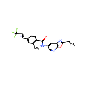 CCc1nc2cc(NC(=O)c3ccc(/C=C/C(F)(F)F)cc3C)cnc2o1